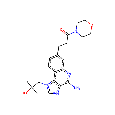 CC(C)(O)Cn1cnc2c(N)nc3cc(CCC(=O)N4CCOCC4)ccc3c21